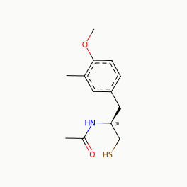 COc1ccc(C[C@@H](CS)NC(C)=O)cc1C